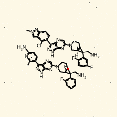 Cc1nc(N)ccc1-c1n[nH]c2nc(N3CC[C@@H]4[C@H](C3)[C@@]4(CN)c3ccccc3F)cnc12.Cn1cc2c(Cl)c(-c3n[nH]c4nc(N5CC[C@@H]6[C@H](C5)[C@@]6(CN)c5cc(F)ccc5F)cnc34)ccc2n1